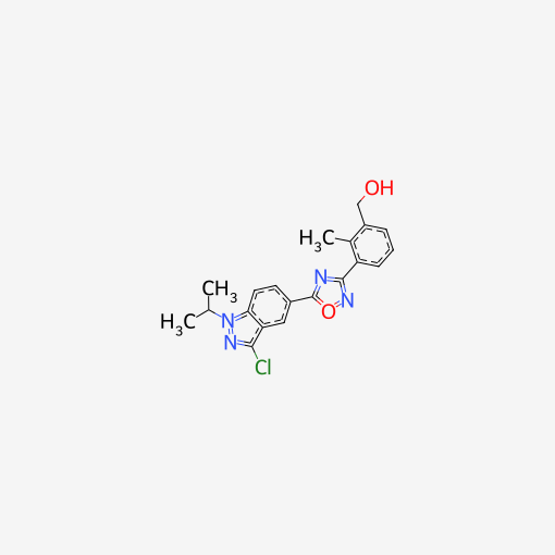 Cc1c(CO)cccc1-c1noc(-c2ccc3c(c2)c(Cl)nn3C(C)C)n1